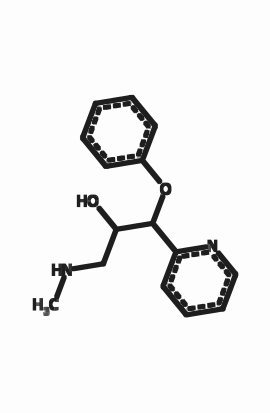 CNCC(O)C(Oc1ccccc1)c1ccccn1